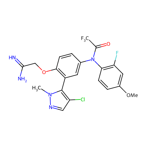 COc1ccc(N(C(=O)C(F)(F)F)c2ccc(OCC(=N)N)c(-c3c(Cl)cnn3C)c2)c(F)c1